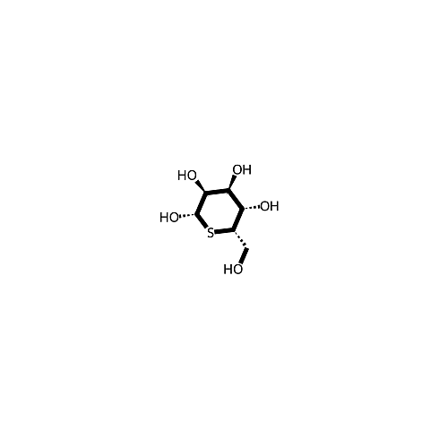 OC[C@@H]1S[C@H](O)[C@@H](O)[C@@H](O)[C@@H]1O